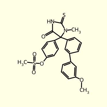 COc1cccc(-c2cccc(C3(c4ccc(OS(C)(=O)=O)cc4)C(=O)NC(=S)N3C)c2)c1